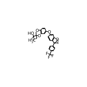 CCC1(C(=O)O)COc2ccc(Oc3ccc4c(-c5ccc(C(F)(F)F)cc5)noc4c3)cc2O1